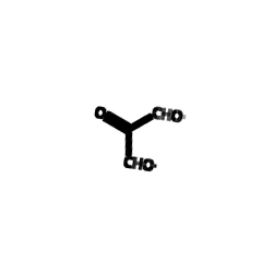 O=[C]C(=O)[C]=O